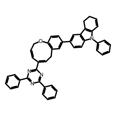 C1=Cc2c(c3cc(-c4ccc5c(c4)C/C=C(c4nc(-c6ccccc6)nc(-c6ccccc6)n4)\C=C/CO5)ccc3n2-c2ccccc2)CC1